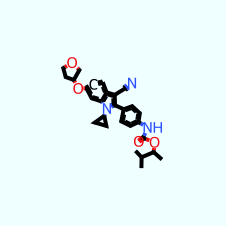 CC(C)C(C)OC(=O)Nc1ccc(-c2c(C#N)c3ccc(OC4CCOC4)cc3n2C2CC2)cc1